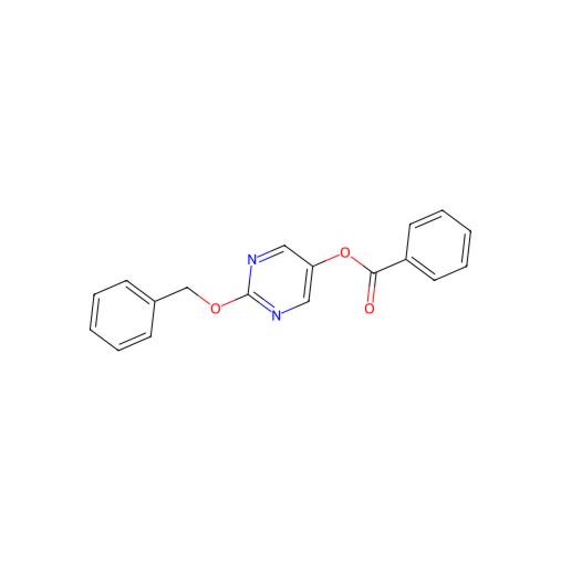 O=C(Oc1cnc(OCc2ccccc2)nc1)c1ccccc1